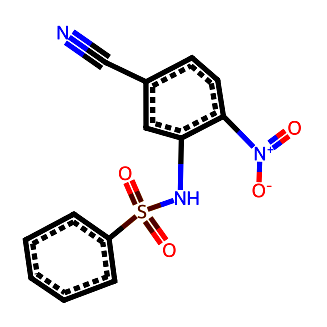 N#Cc1ccc([N+](=O)[O-])c(NS(=O)(=O)c2ccccc2)c1